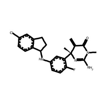 C=C1C(=O)N(C)C(N)=N[C@]1(C)c1cc(NC2CCc3cc(Cl)ccc32)ccc1F